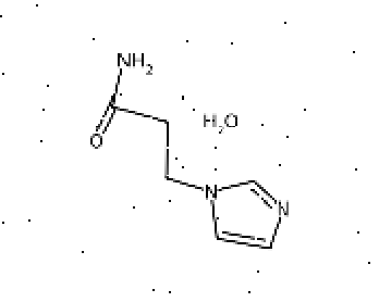 NC(=O)CCn1ccnc1.O